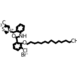 CCCCCCCCCCCCCCOc1c(Cl)cccc1C(=O)Nc1ccccc1C[n+]1csc(C)c1.[Br-]